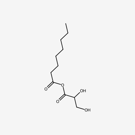 CCCCCCCC(=O)OC(=O)C(O)CO